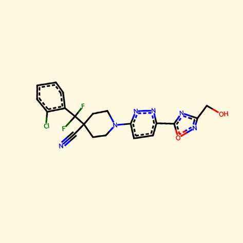 N#CC1(C(F)(F)c2ccccc2Cl)CCN(c2ccc(-c3nc(CO)no3)nn2)CC1